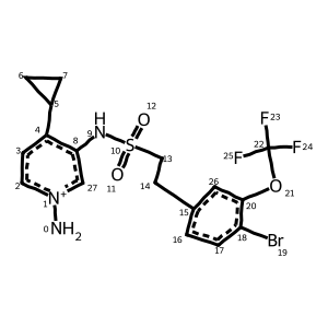 N[n+]1ccc(C2CC2)c(NS(=O)(=O)CCc2ccc(Br)c(OC(F)(F)F)c2)c1